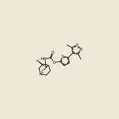 Cc1noc(C)c1-c1ccc(OC(=O)N[C@H]2CN3CCC2CC3)s1